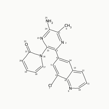 Cc1nc(-c2cc(Cl)c3ncccc3c2)c(-n2ccccc2=O)nc1N